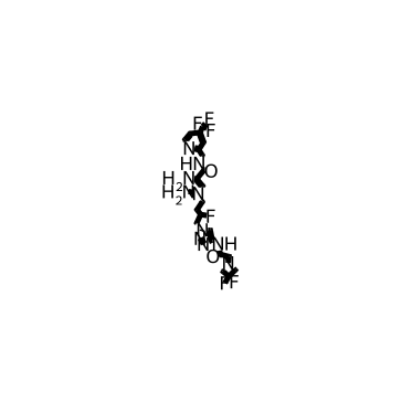 N/C(=C\N(N)CCC(F)Cn1cc(NC(=O)CN2CC(F)(F)C2)nn1)C(=O)NCc1cc(C(F)(F)F)ccn1